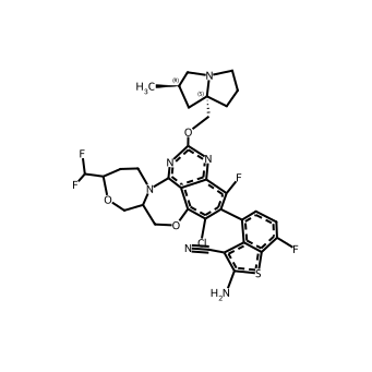 C[C@H]1CN2CCC[C@@]2(COc2nc3c4c(c(Cl)c(-c5ccc(F)c6sc(N)c(C#N)c56)c(F)c4n2)OCC2COC(C(F)F)CCN32)C1